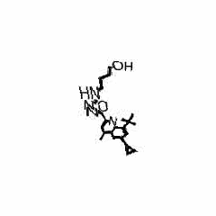 Cc1cc(-c2nnc(NCCCCO)o2)nc2c(C(C)(C)C)cc(C3CC3)cc12